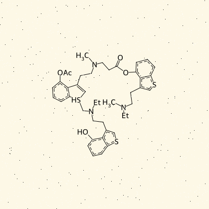 CCN(C)CCc1csc2cccc(OC(=O)CCN(C)CCC3=C[SH](CN(CC)CCc4csc5cccc(O)c45)c4cccc(OC(C)=O)c43)c12